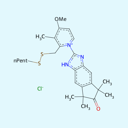 CCCCCSSCc1c(C)c(OC)cc[n+]1-c1nc2cc3c(cc2[nH]1)C(C)(C)C(=O)C3(C)C.[Cl-]